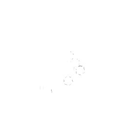 CCCCCCCNC(=O)N(C)c1cccc(-c2ccc(CCC(=O)O)cc2OCC)n1.Cl